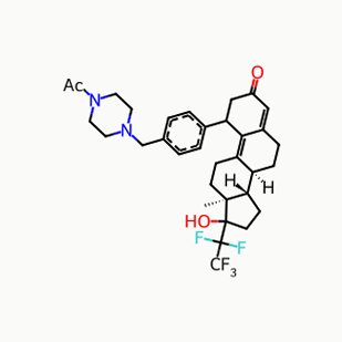 CC(=O)N1CCN(Cc2ccc(C3CC(=O)C=C4CC[C@@H]5C(=C43)CC[C@@]3(C)[C@H]5CCC3(O)C(F)(F)C(F)(F)F)cc2)CC1